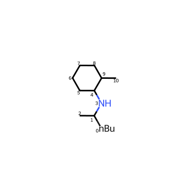 CCCCC(C)NC1CCCCC1C